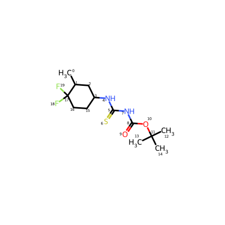 CC1CC(NC(=S)NC(=O)OC(C)(C)C)CCC1(F)F